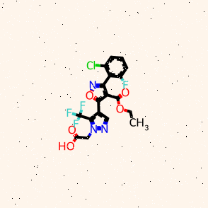 CCOC(=O)c1c(-c2c(F)cccc2Cl)noc1-c1cnn(CC(=O)O)c1C(F)(F)F